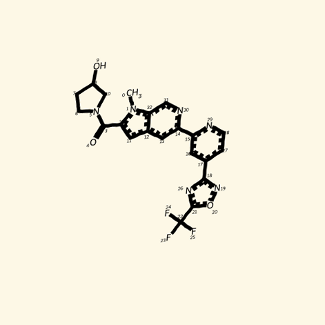 Cn1c(C(=O)N2CCC(O)C2)cc2cc(-c3cc(-c4noc(C(F)(F)F)n4)ccn3)ncc21